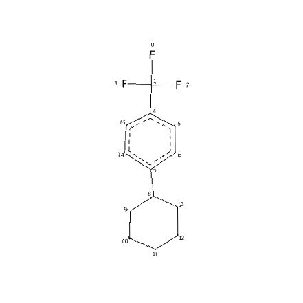 FC(F)(F)c1ccc(C2CCCCC2)cc1